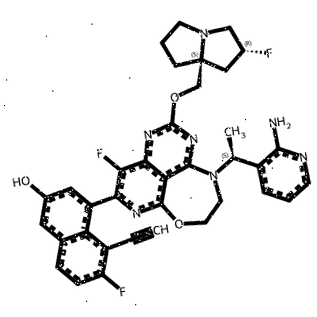 C#Cc1c(F)ccc2cc(O)cc(-c3nc4c5c(nc(OC[C@@]67CCCN6C[C@H](F)C7)nc5c3F)N([C@@H](C)c3cccnc3N)CCO4)c12